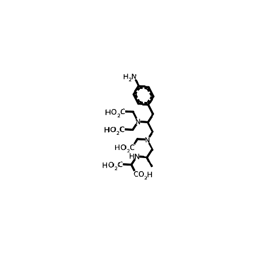 CC(CN(CC(=O)O)CC(Cc1ccc(N)cc1)N(CC(=O)O)CC(=O)O)NC(C(=O)O)C(=O)O